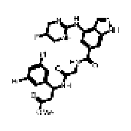 COC(=O)CC(NC(=O)CNC(=O)c1cc(NC2=NCC(F)CN2)c2cn[nH]c2c1)c1cc(Cl)cc(Br)c1